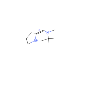 CN(/C=C1/CCCN1)C(C)(C)C